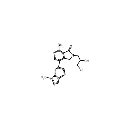 Cn1ncc2ccc(-c3ccc(N)c4c3CN(CC(C#N)CCl)C4=O)cc21